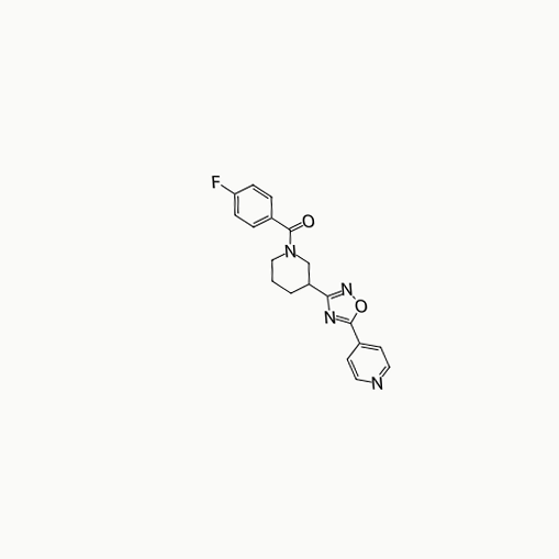 O=C(c1ccc(F)cc1)N1CCCC(c2noc(-c3ccncc3)n2)C1